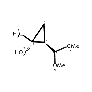 COC(OC)[C@@H]1C[C@@]1(C)C(=O)O